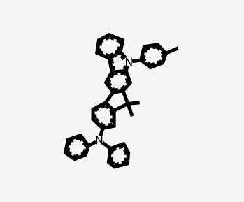 Cc1ccc(-n2c3ccccc3c3cc4c(cc32)C(C)(C)c2cc(N(c3ccccc3)c3ccccc3)ccc2-4)cc1